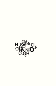 CC(C)(C)[Si](C)(C)O[C@@H]1CC(=O)N(C(=O)O)[C@@H]1C(=O)NCc1ccc(F)c(Cl)c1